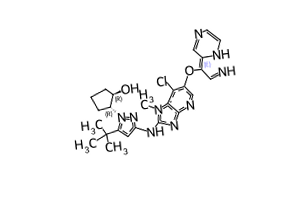 Cn1c(Nc2cc(C(C)(C)C)n([C@@H]3CCC[C@H]3O)n2)nc2ncc(O/C(C=N)=C3\C=NC=CN3)c(Cl)c21